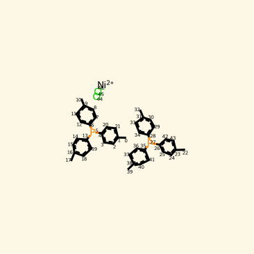 Cc1ccc(P(c2ccc(C)cc2)c2ccc(C)cc2)cc1.Cc1ccc(P(c2ccc(C)cc2)c2ccc(C)cc2)cc1.[Cl-].[Cl-].[Ni+2]